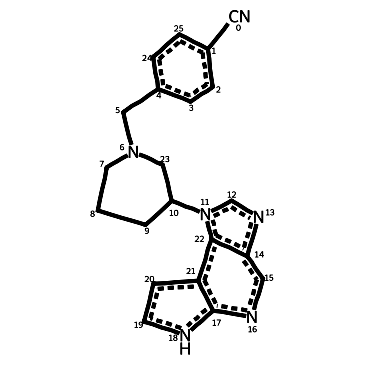 N#Cc1ccc(CN2CCCC(n3cnc4cnc5[nH]ccc5c43)C2)cc1